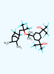 CC1C(C)C2CC1C(F)(F)C2(F)CC(OC(C)(C)C1CC(C(O)(C(F)(F)F)C(F)(F)F)CC(C(O)(C(F)(F)F)C(F)(F)F)C1)(C(F)(F)F)C(F)(F)F